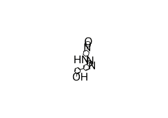 Oc1cccc(-c2ccc3ncnc(N[C@H]4CC[C@H](N5CCOCC5)CC4)c3c2)c1